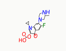 CC1CN(c2cc3c(cc2F)c(=O)c(OC(=O)O)cn3C2CC2)CCN1